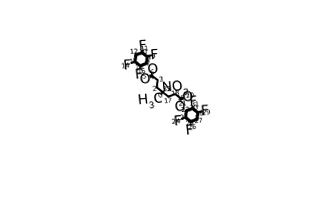 CC(CCC(=O)Oc1c(F)c(F)cc(F)c1F)(CCC(=O)Oc1c(F)c(F)cc(F)c1F)[N+](=O)[O-]